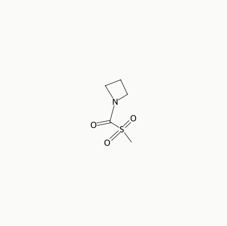 CS(=O)(=O)C(=O)N1CCC1